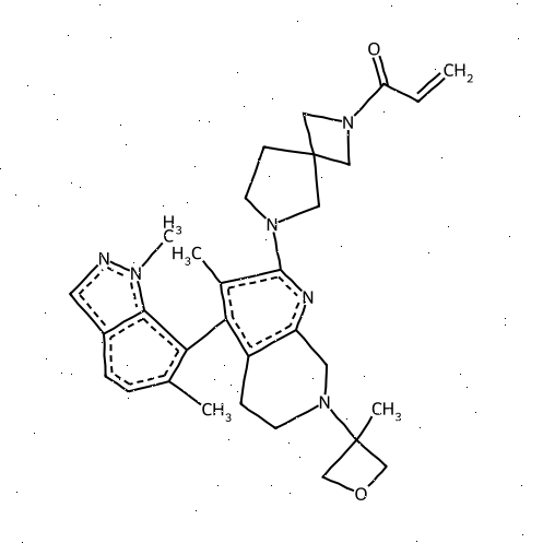 C=CC(=O)N1CC2(CCN(c3nc4c(c(-c5c(C)ccc6cnn(C)c56)c3C)CCN(C3(C)COC3)C4)C2)C1